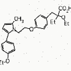 CCOc1ccc(-c2ccc(C)n2CCOc2ccc(CC(CC)(OCC)C(=O)O)cc2)cc1